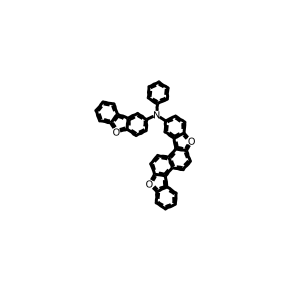 c1ccc(N(c2ccc3oc4ccccc4c3c2)c2ccc3oc4ccc5c(ccc6oc7ccccc7c65)c4c3c2)cc1